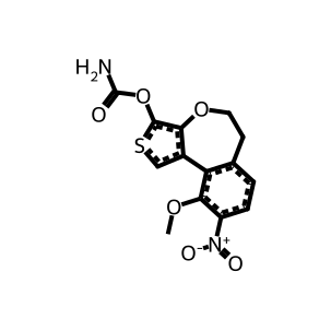 COc1c([N+](=O)[O-])ccc2c1-c1csc(OC(N)=O)c1OCC2